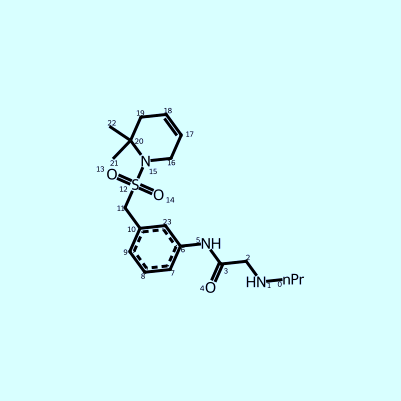 CCCNCC(=O)Nc1cccc(CS(=O)(=O)N2CC=CCC2(C)C)c1